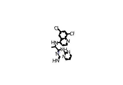 CC(Nc1ccnc2c(Cl)cc(Cl)cc12)/C(=N/C=N)Nc1ncccn1